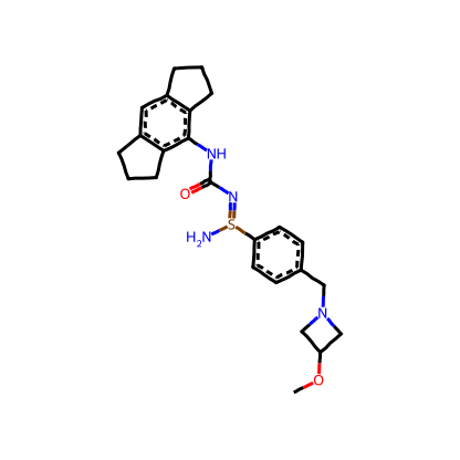 COC1CN(Cc2ccc(/S(N)=N/C(=O)Nc3c4c(cc5c3CCC5)CCC4)cc2)C1